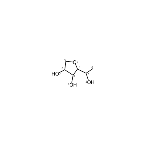 CC(O)C1OCC(O)C1O